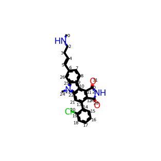 CNCCC=Cc1ccc2c3c4c(c(-c5ccccc5Cl)cc3n(C)c2c1)C(=O)NC4=O